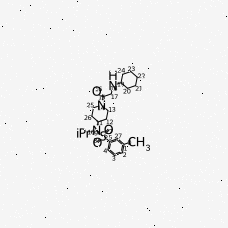 Cc1cccc(S(=O)(=O)N(C(C)C)C2CCN(C(=O)CNC3CCCCC3)CC2)c1